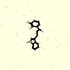 O=C(CCc1c[nH]c2ccccc12)c1cccc(F)c1F